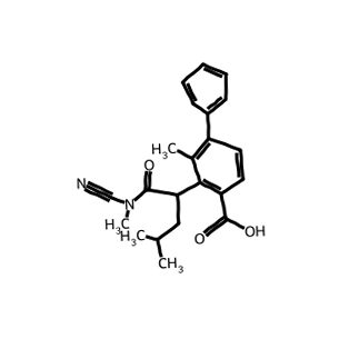 Cc1c(-c2ccccc2)ccc(C(=O)O)c1C(CC(C)C)C(=O)N(C)C#N